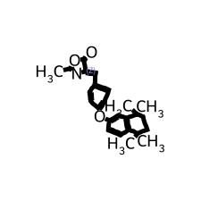 CC1=N/C(=C\c2ccc(Oc3ccc4c(c3)C(C)(C)CCC4(C)C)cc2)C(=O)O1